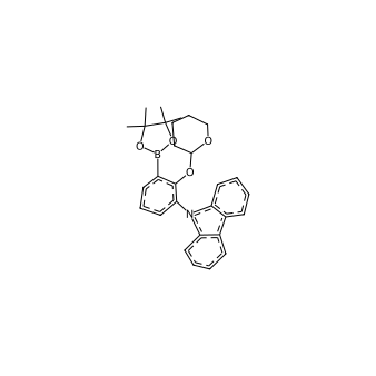 CC1(C)OB(c2cccc(-n3c4ccccc4c4ccccc43)c2OC2CCCCO2)OC1(C)C